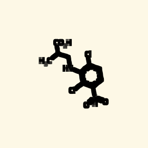 CC(CNc1c(Cl)ccc([SH](=O)=O)c1Cl)C(=O)O